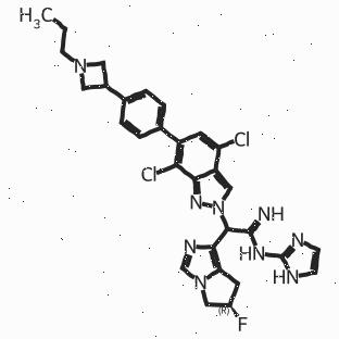 CCCN1CC(c2ccc(-c3cc(Cl)c4cn(C(C(=N)Nc5ncc[nH]5)c5ncn6c5C[C@@H](F)C6)nc4c3Cl)cc2)C1